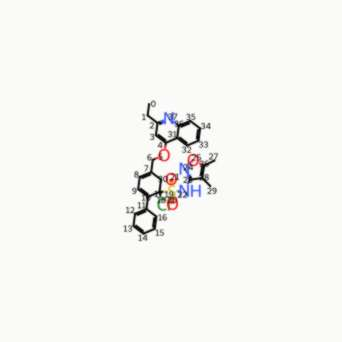 CCc1cc(OCC2=CC=C(c3ccccc3)C(Cl)(S(=O)(=O)Nc3noc(C)c3C)C2)c2ccccc2n1